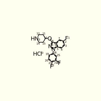 Cl.Fc1ccc2c(c1)c(OC1CCNCC1)nn2-c1ccc(F)c(F)c1